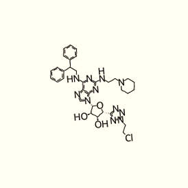 O[C@@H]1[C@H](O)[C@@H](c2nnn(CCCl)n2)O[C@H]1n1cnc2c(NCC(c3ccccc3)c3ccccc3)nc(NCCN3CCCCC3)nc21